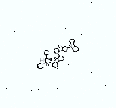 C1=CCC(C2=NC(c3cccc4c3sc3c(-c5cccc6oc7cc(-n8c9ccccc9c9ccccc98)ccc7c56)cccc34)NC(c3ccccc3)N2)C=C1